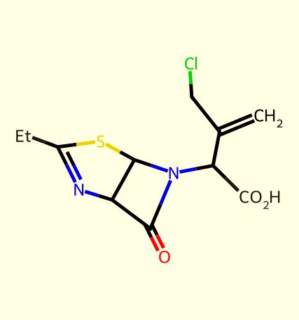 C=C(CCl)C(C(=O)O)N1C(=O)C2N=C(CC)SC21